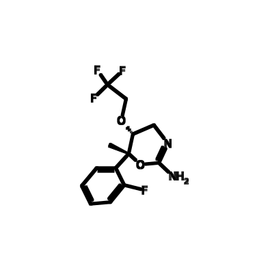 C[C@]1(c2ccccc2F)OC(N)=NC[C@H]1OCC(F)(F)F